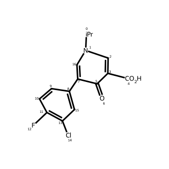 CC(C)n1cc(C(=O)O)c(=O)c(-c2ccc(F)c(Cl)c2)c1